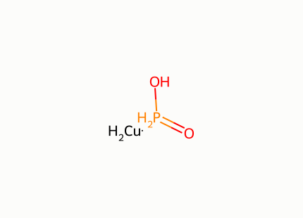 O=[PH2]O.[CuH2]